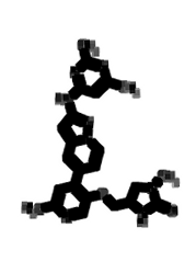 Cc1cc(-c2ccn3nc(Nc4cc(C)nc(C)n4)cc3c2)c(OCC2CN(C)C(=O)N2)cn1